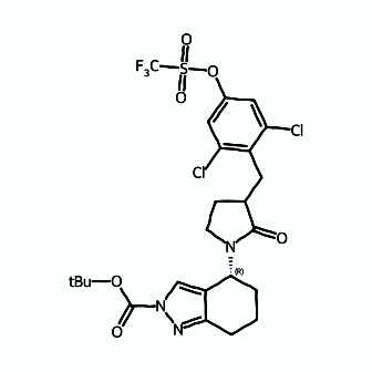 CC(C)(C)OC(=O)n1cc2c(n1)CCC[C@H]2N1CCC(Cc2c(Cl)cc(OS(=O)(=O)C(F)(F)F)cc2Cl)C1=O